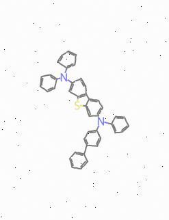 c1ccc(-c2ccc(N(c3ccccc3)c3ccc4c(c3)sc3cc(N(c5ccccc5)c5ccccc5)ccc34)cc2)cc1